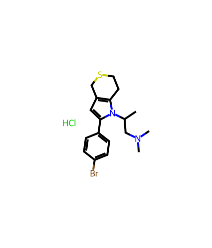 CC(CN(C)C)n1c(-c2ccc(Br)cc2)cc2c1CCSC2.Cl